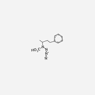 CC(CCc1ccccc1)N(N=[N+]=[N-])C(=O)O